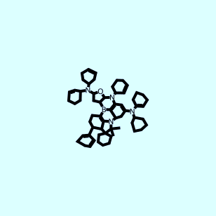 CC1(C)N2C3=C(CCC(C4=CCCC=C4)C3C13CCCCC3)B1C3=C(C=C(N(C4=CCCCC4)C4CCCCC4)CC32)N(C2C=CCCC2)C2OC(N(C3C=CCCC3)C3CC=CCC3)CC12